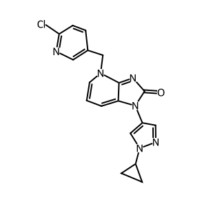 O=c1nc2n(Cc3ccc(Cl)nc3)cccc-2n1-c1cnn(C2CC2)c1